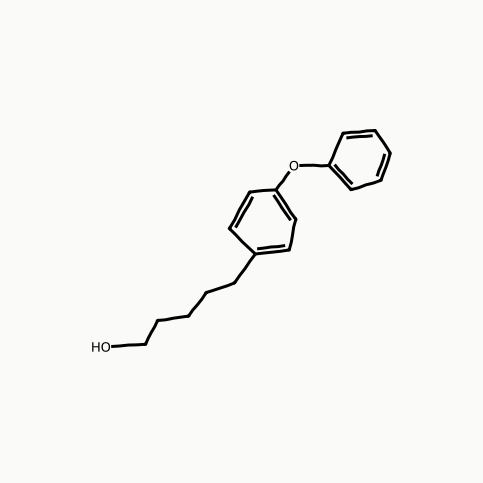 OCCCCCc1ccc(Oc2ccccc2)cc1